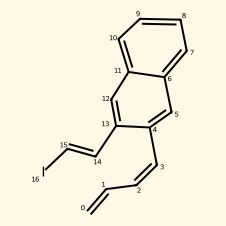 C=C/C=C\c1cc2ccccc2cc1/C=C/I